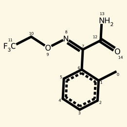 Cc1ccccc1/C(=N\OCC(F)(F)F)C(N)=O